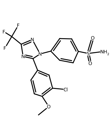 COc1ccc(-c2nc(C(F)(F)F)nn2-c2ccc(S(N)(=O)=O)cc2)cc1Cl